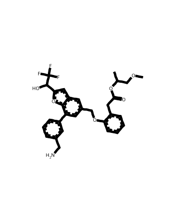 COCC(C)OC(=O)Cc1ccccc1OCc1cc(-c2cccc(CN)c2)c2oc(C(O)C(F)(F)F)cc2c1